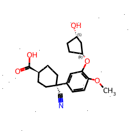 COc1ccc([C@]2(C#N)CC[C@H](C(=O)O)CC2)cc1O[C@@H]1CC[C@H](O)C1